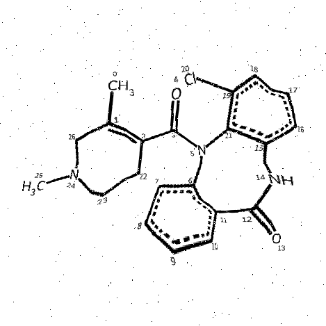 CC1=C(C(=O)N2c3ccccc3C(=O)Nc3cccc(Cl)c32)CCN(C)C1